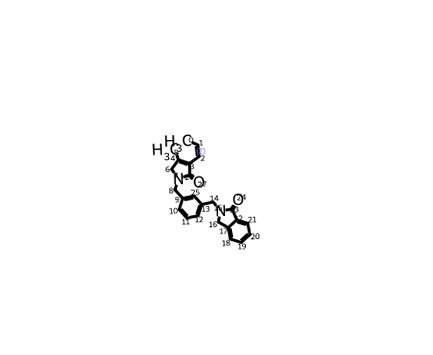 C/C=C\C1=C(C)CN(Cc2cccc(CN3Cc4ccccc4C3=O)c2)C1=O